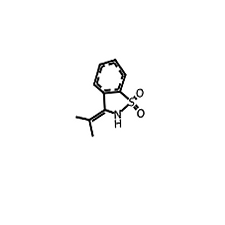 CC(C)=C1NS(=O)(=O)c2ccccc21